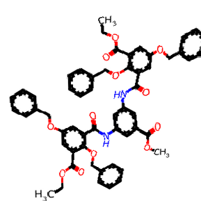 CCOC(=O)c1cc(OCc2ccccc2)cc(C(=O)Nc2cc(NC(=O)c3cc(OCc4ccccc4)cc(C(=O)OCC)c3OCc3ccccc3)cc(C(=O)OC)c2)c1OCc1ccccc1